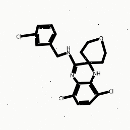 Clc1cccc(CNC2=Nc3c(Cl)ccc(Cl)c3NC23CCOCC3)c1